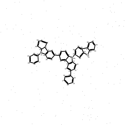 C1=CC2c3cc(-c4ccc5c(c4)c4cc(-c6ccccc6)ccc4n5-c4ccc5c(c4)oc4ccccc45)ccc3N(c3ccccc3)C2C=C1